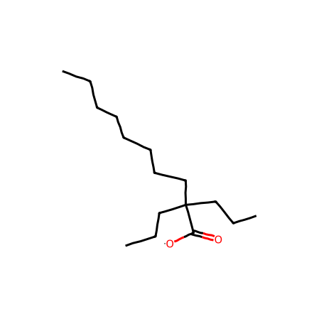 CCCCCCCCC(CCC)(CCC)C([O])=O